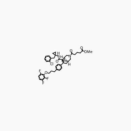 COC(=O)CCCC(=O)N1C[C@H]2CC(c3ccc(CCCOc4c(F)ccc(F)c4F)cc3)=C(C(=O)NC3(Cc4ccccc4Cl)CC3)[C@@H](C1)N2